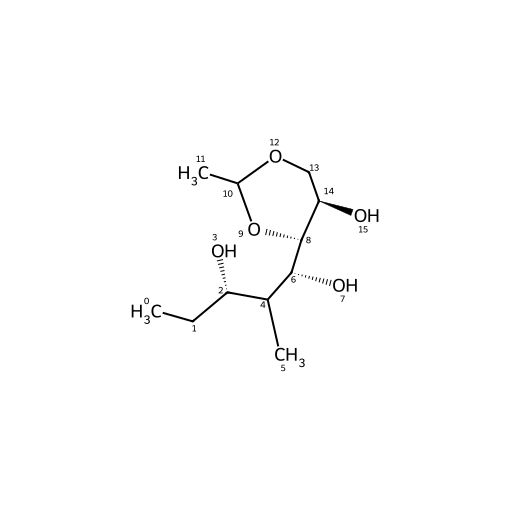 CC[C@H](O)C(C)[C@@H](O)[C@@H]1OC(C)OC[C@H]1O